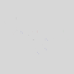 CC(C)(C)OC(=O)N1CC(O)(c2ccc3ncnc(Nc4ccc(Cl)c(Cl)c4F)c3c2)C1